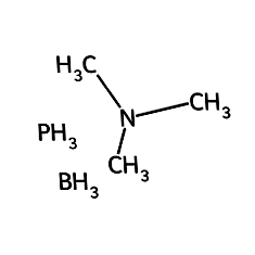 B.CN(C)C.P